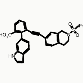 CC(C)S(=O)(=O)N1CCc2ccc(C#Cc3cccc(C(=O)O)c3-c3ccc4cc[nH]c4c3)cc2C1